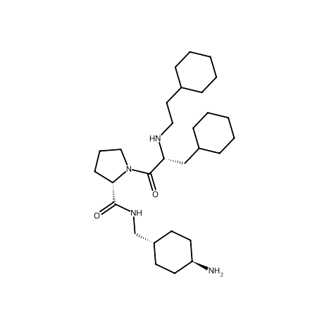 N[C@H]1CC[C@H](CNC(=O)[C@@H]2CCCN2C(=O)[C@@H](CC2CCCCC2)NCCC2CCCCC2)CC1